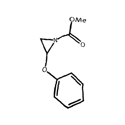 COC(=O)N1CC1Oc1ccccc1